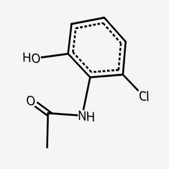 CC(=O)Nc1c(O)cccc1Cl